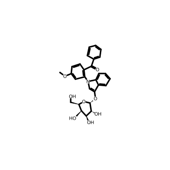 COc1ccc(C(=O)c2ccccc2)c(-n2cc(O[C@H]3O[C@H](CO)[C@H](O)[C@H](O)[C@H]3O)c3ccccc32)c1